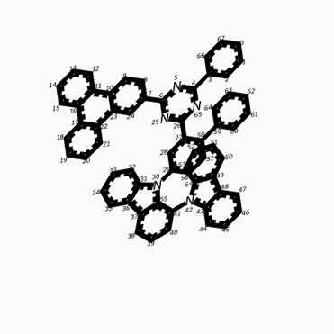 c1ccc(-c2nc(-c3ccc4c5ccccc5c5ccccc5c4c3)nc(-c3cc(-n4c5ccccc5c5cccc(-n6c7ccccc7c7ccccc76)c54)ccc3-c3ccccc3)n2)cc1